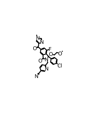 COCCO[C@]1(c2ccc(Cl)cc2)c2c(F)cc(C(=O)c3cn(C)cn3)cc2C(=O)N1Cc1ccc(C#N)cn1